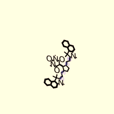 CN1C(=O)C(=C2/C(=C/C=C3/N(C)c4ccc5ccccc5c4C3(C)C)CC/C2=C\C=C2\N(C)c3ccc4ccccc4c3C2(C)C)C(=O)N(C)C1=O